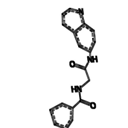 O=C(CNC(=O)c1ccccc1)Nc1ccc2ncccc2c1